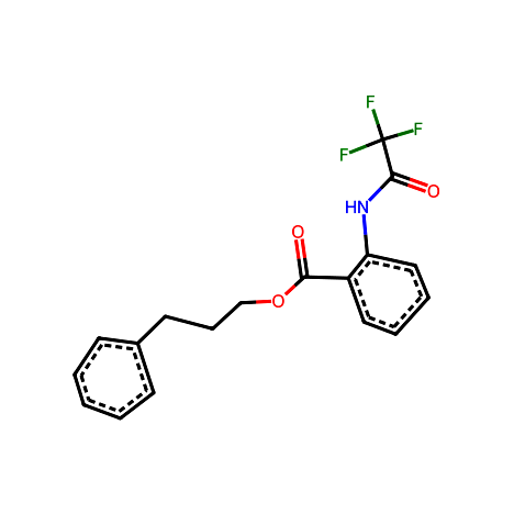 O=C(OCCCc1ccccc1)c1ccccc1NC(=O)C(F)(F)F